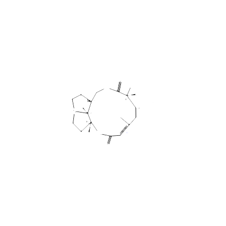 C/C1=C\C(=O)O[C@@H]2CCN3CC[C@H](COC(=O)[C@](C)(O)[C@H](C)C1)[C@H]23